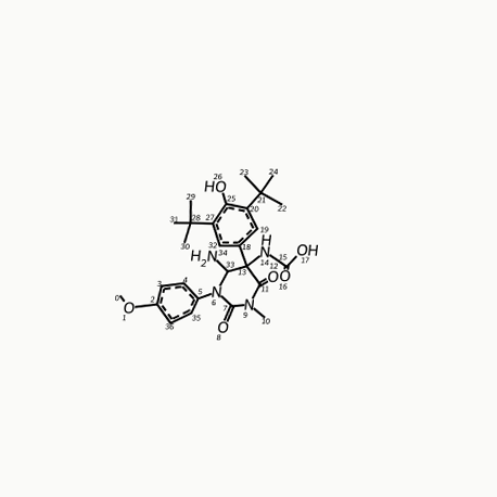 COc1ccc(N2C(=O)N(C)C(=O)C(NC(=O)O)(c3cc(C(C)(C)C)c(O)c(C(C)(C)C)c3)C2N)cc1